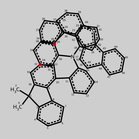 CC1(C)c2ccccc2-c2c(-c3ccccc3N(c3ccccc3-c3ccccc3)c3ccccc3-c3cccc4oc5c6ccccc6ccc5c34)cccc21